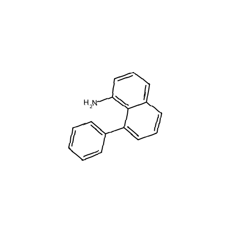 Nc1cccc2cccc(-c3ccccc3)c12